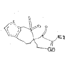 CCNC(=O)C1(CC=O)Cc2ccsc2S1(=O)=O